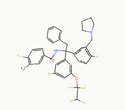 O=C(NC(Cc1ccccc1)(c1cc(F)cc(OC(F)(F)C(F)F)c1)c1ccc(F)c(CN2CCCC2)c1)c1ccc(F)c(C(F)(F)F)c1